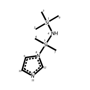 C[Si](C)(C)N[Si](C)(C)n1ccnc1